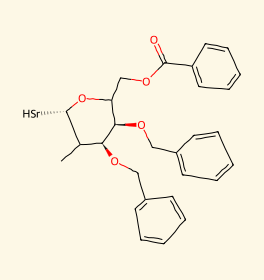 CC1[C@H]([SrH])OC(COC(=O)c2ccccc2)[C@@H](OCc2ccccc2)[C@H]1OCc1ccccc1